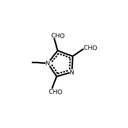 Cn1c(C=O)nc(C=O)c1C=O